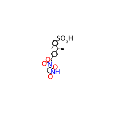 C#CC(c1ccc([C@H]2CN(C3CCC(=O)NC3=O)C(=O)O2)cc1)c1cc(S(=O)(=O)O)ccc1C